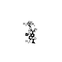 CC(C)/N=C(\NCOCC[Si](C)(C)C)c1ccc2c(c1OC1CCC1)CC[C@H](C)N2C(=O)C1CC1